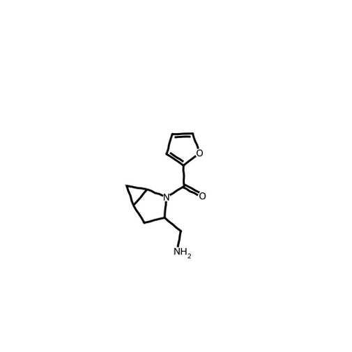 NCC1CC2CC2N1C(=O)c1ccco1